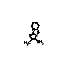 Cc1nc2n(cc3ccccn32)c1N